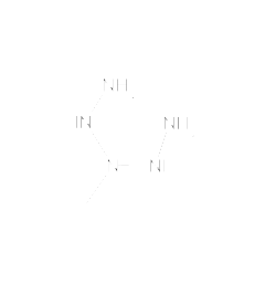 CN(NN)NN